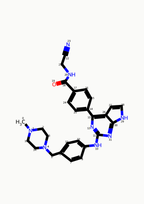 CN1CCN(Cc2ccc(Nc3nc(-c4ccc(C(=O)NCC#N)cc4)c4cc[nH]c4n3)cc2)CC1